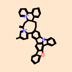 C=C1CC2C(CCc3cc4c(cc3-c3ccc(C)c[n+]31)c1cc3c5ccccc5oc3c3c5ccccc5n4c13)c1ccccc1-c1cccc[n+]12